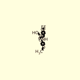 CCCOc1ccc(C(=O)NC(Cc2ccc(OC(F)(F)F)cc2)C(=O)NCCO)cc1